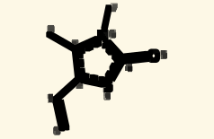 C=Cc1sc(=O)n(C)c1C